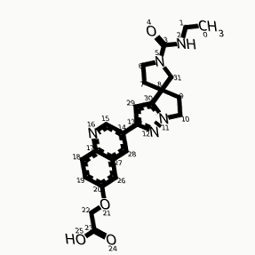 CCNC(=O)N1CCC2(CCn3nc(-c4cnc5ccc(OCC(=O)O)cc5c4)cc32)C1